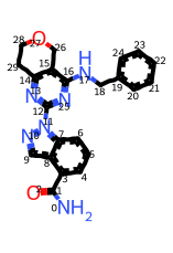 NC(=O)c1cccc2c1cnn2-c1nc2c(c(NCc3ccccc3)n1)COCC2